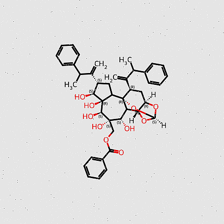 C=C(C(C)c1ccccc1)[C@H]1C[C@H]2O[C@H]3O[C@@H]2C2[C@H](O)[C@@](O)(COC(=O)c4ccccc4)[C@@H](O)[C@@]4(O)C(C[C@@H](C(=C)C(C)c5ccccc5)[C@@H]4O)[C@]21O3